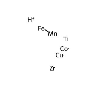 [Co].[Cu].[H+].[Mn][Fe].[Ti].[Zr]